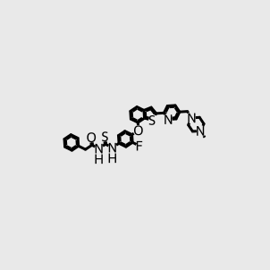 CN1CCN(Cc2ccc(-c3cc4cccc(Oc5ccc(NC(=S)NC(=O)Cc6ccccc6)cc5F)c4s3)nc2)CC1